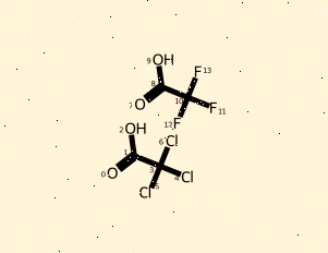 O=C(O)C(Cl)(Cl)Cl.O=C(O)C(F)(F)F